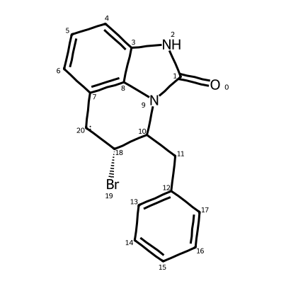 O=c1[nH]c2cccc3c2n1C(Cc1ccccc1)[C@H](Br)[C]3